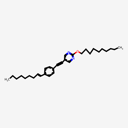 CCCCCCCC=Cc1ccc(C#Cc2cnc(OCCCCCCCCCC)nc2)cc1